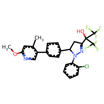 COc1cc(C)c(-c2ccc(C3CC(C(O)(C(F)(F)F)C(F)(F)F)=NN3c3ccccc3Cl)cc2)cn1